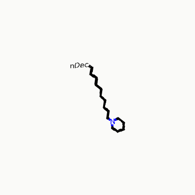 CCCCCCCCCCCCCCCCCCCCN1CCCCC1